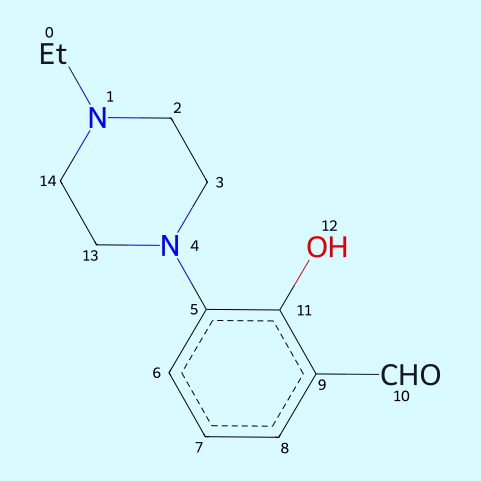 CCN1CCN(c2cccc(C=O)c2O)CC1